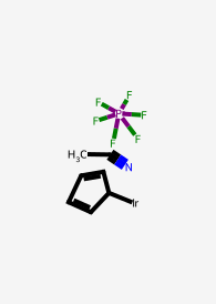 CC#N.F[P-](F)(F)(F)(F)F.[Ir][CH]1C=CC=C1